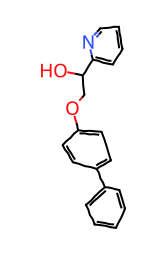 OC(COc1ccc(-c2ccccc2)cc1)c1ccccn1